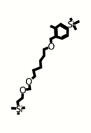 Cc1cc([Si](C)(C)C)ccc1COCCCCCCOCOCC[Si](C)(C)C